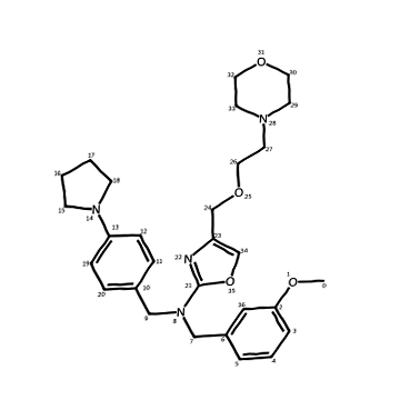 COc1cccc(CN(Cc2ccc(N3CCCC3)cc2)c2nc(COCCN3CCOCC3)co2)c1